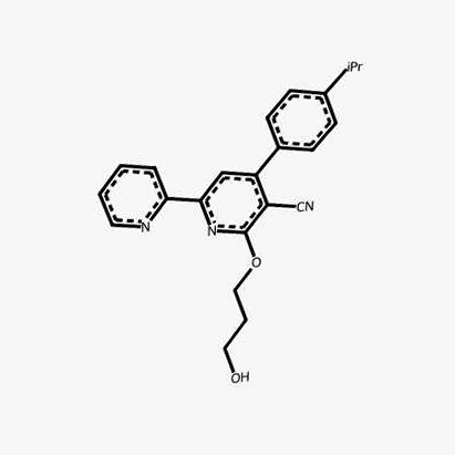 CC(C)c1ccc(-c2cc(-c3ccccn3)nc(OCCCO)c2C#N)cc1